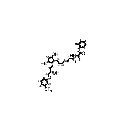 Cc1ccccc1OC(=O)C(C)NC(=O)CCC/C=C\C[C@@H]1[C@@H](/C=C/[C@@H](O)COc2cccc(C(F)(F)F)c2)[C@H](O)C[C@@H]1O